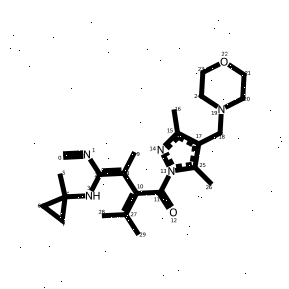 C=N/C(NC1(C)CC1)=C(\C)C(C(=O)n1nc(C)c(CN2CCOCC2)c1C)=C(C)C